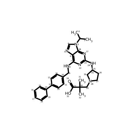 CC(C)n1cnc2c(NCc3ccc(-c4ccccc4)cc3)nc(N[C@H]3CCN(CC(C)(C)C(=O)O)C3)nc21